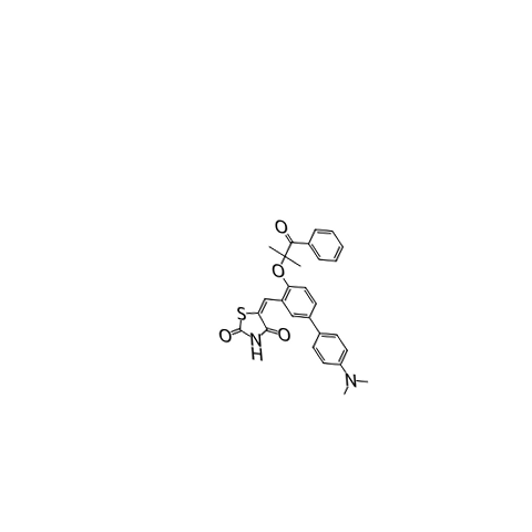 CN(C)c1ccc(-c2ccc(OC(C)(C)C(=O)c3ccccc3)c(/C=C3/SC(=O)NC3=O)c2)cc1